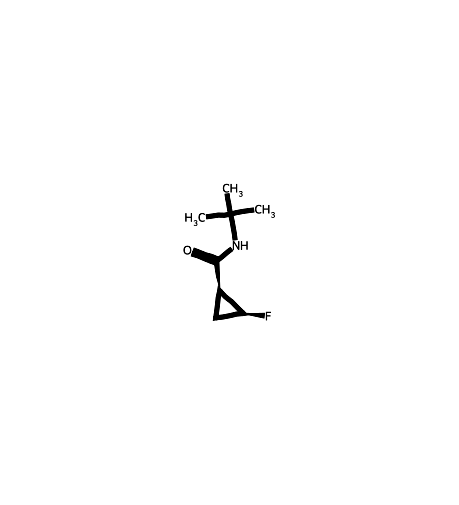 CC(C)(C)NC(=O)[C@@H]1C[C@@H]1F